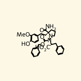 COc1cc(CC[C@@]2(C(N)=O)CCCN2N(C(=O)OCc2ccccc2)[C@H](Cc2ccccc2)C(=O)O)ccc1O